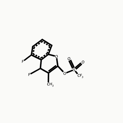 CC1=C(OS(=O)(=O)C(F)(F)F)Oc2cccc(F)c2C1F